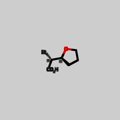 CC[C@@H](C(=O)O)[C@@H]1CCCO1